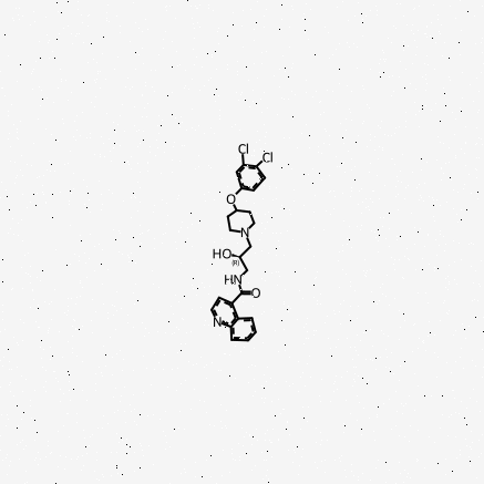 O=C(NC[C@@H](O)CN1CCC(Oc2ccc(Cl)c(Cl)c2)CC1)c1ccnc2ccccc12